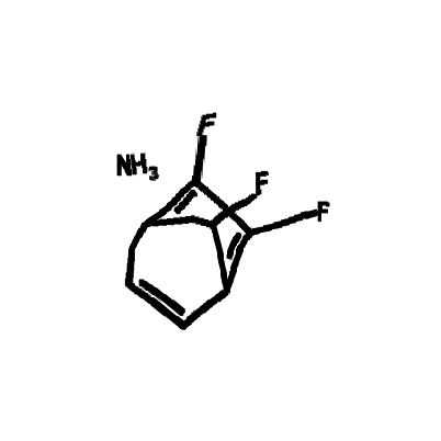 FC1=C2C=CC(=C1F)C2F.N